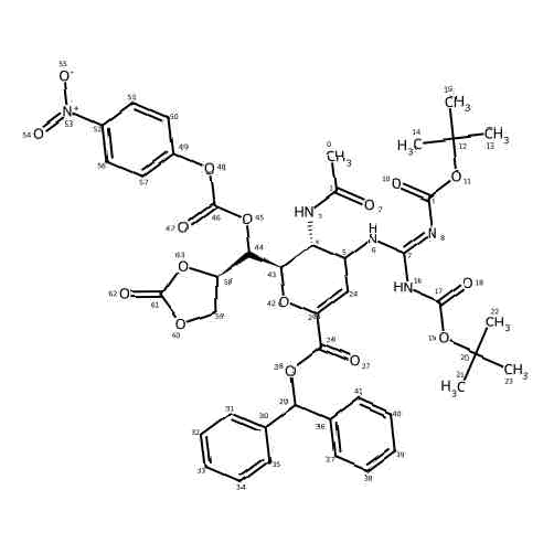 CC(=O)N[C@@H]1C(N/C(=N\C(=O)OC(C)(C)C)NC(=O)OC(C)(C)C)C=C(C(=O)OC(c2ccccc2)c2ccccc2)O[C@H]1C(OC(=O)Oc1ccc([N+](=O)[O-])cc1)[C@H]1COC(=O)O1